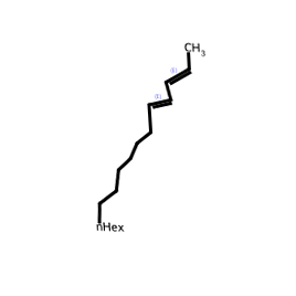 [CH2]CCCCCCCCCCC/C=C/C=C/C